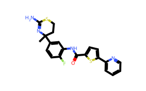 CC1(c2ccc(F)c(NC(=O)c3ccc(-c4ccccn4)s3)c2)CCSC(N)=N1